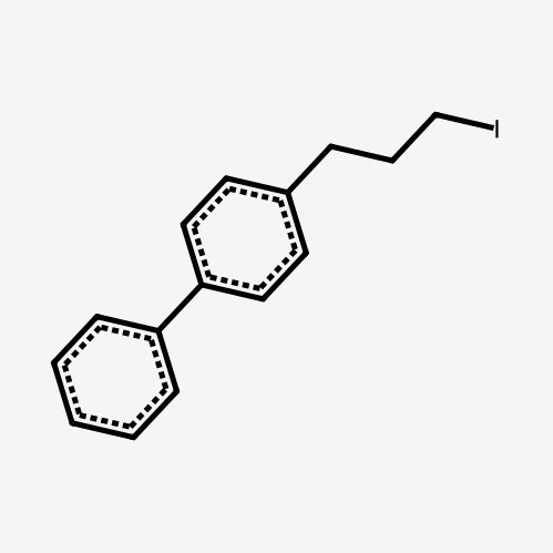 ICCCc1ccc(-c2ccccc2)cc1